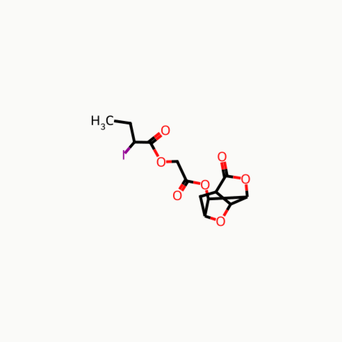 CCC(I)C(=O)OCC(=O)OC1C2CC3C(=O)OC1C3O2